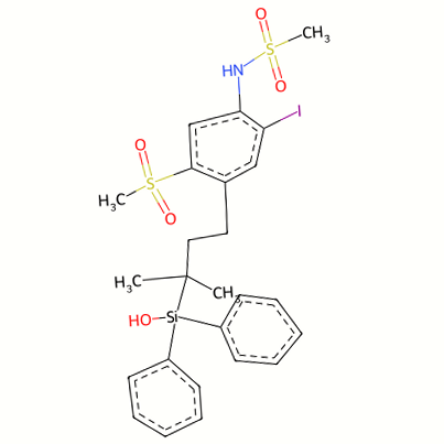 CC(C)(CCc1cc(I)c(NS(C)(=O)=O)cc1S(C)(=O)=O)[Si](O)(c1ccccc1)c1ccccc1